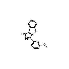 COc1cccc(-c2n[nH]c3c2Cc2ccccc2-3)c1